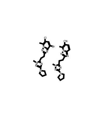 Cc1c(C#N)ccc2nc(CCc3nc(N4CCCC4)nn3C)nn12.Cc1c(Cl)cc(Br)c2nc(CCc3nc(N4CCCC4)nn3C)nn12